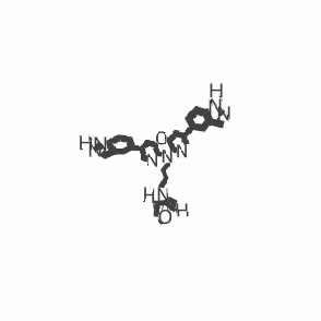 c1cc2[nH]ncc2cc1-c1cnc2c(c1)Oc1cc(-c3ccc4[nH]ncc4c3)cnc1N2CCCCN1C[C@H]2C[C@@H]1CO2